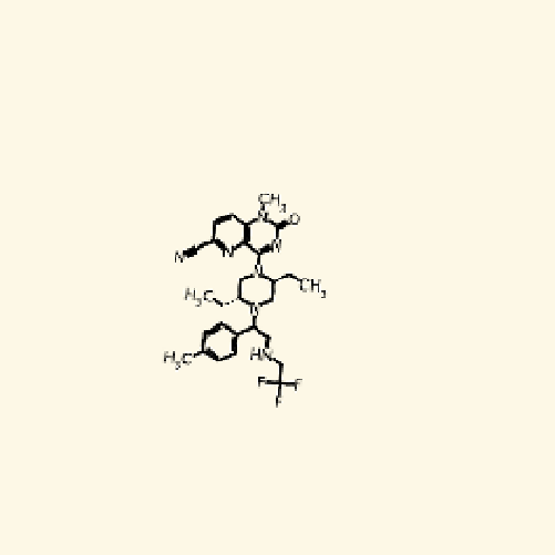 CC[C@H]1CN(C(CNCC(F)(F)F)c2ccc(C)cc2)[C@H](CC)CN1c1nc(=O)n(C)c2ccc(C#N)nc12